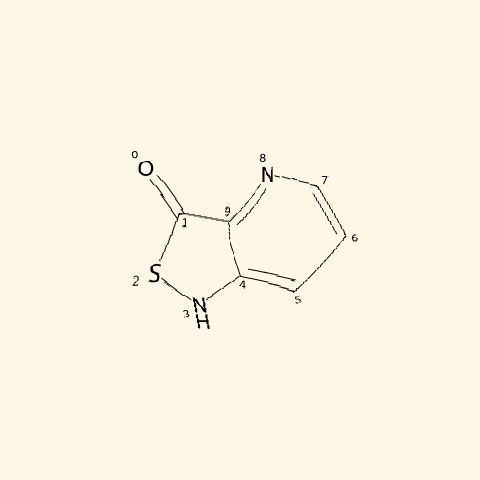 O=c1s[nH]c2cccnc12